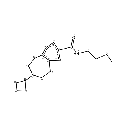 CCCCNC(=O)c1ccc2c(c1)CCN(C1CCC1)CC2